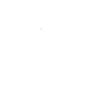 CC(=O)NC1CCC(OC=O)CC1